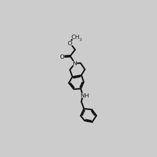 COCC(=O)N1CCc2cc(NCc3ccccc3)ccc2C1